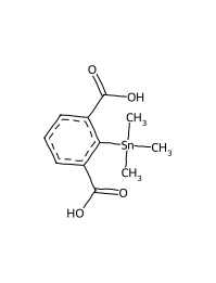 [CH3][Sn]([CH3])([CH3])[c]1c(C(=O)O)cccc1C(=O)O